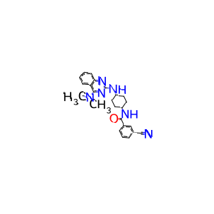 CN(C)c1nc(N[C@H]2CC[C@@H](NC(=O)c3cccc(C#N)c3)CC2)nc2ccccc12